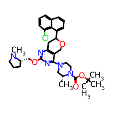 C[C@@H]1CN(c2nc(OC[C@@H]3CCCN3C)nc3c2COC(c2cccc4cccc(Cl)c24)C3)CCN1C(=O)OC(C)(C)C